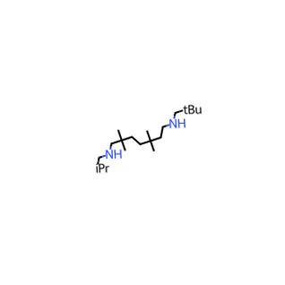 CC(C)CNCC(C)(C)CCC(C)(C)CCNCC(C)(C)C